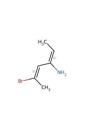 C/C=C(N)\C=C(/C)Br